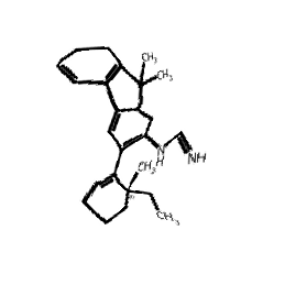 CC[C@]1(C)CCCC=C1C1=C(NC=N)CC2C(=C1)C1=C(CCC=C1)C2(C)C